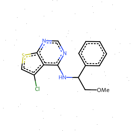 COCC(Nc1ncnc2scc(Cl)c12)c1ccccc1